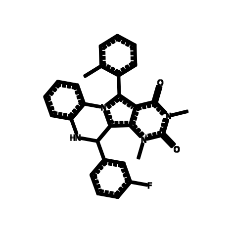 Cc1ccccc1-c1c2c(=O)n(C)c(=O)n(C)c2c2n1-c1ccccc1NC2c1cccc(F)c1